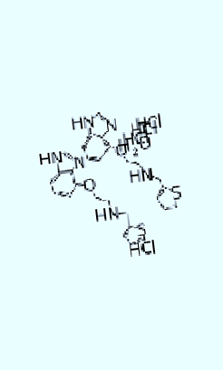 Cl.Cl.Cl.Cl.O.c1csc(CNCCOc2cccc3[nH]cnc23)c1.c1csc(CNCCOc2cccc3[nH]cnc23)c1